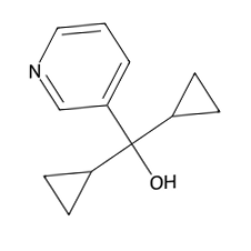 OC(c1cccnc1)(C1CC1)C1CC1